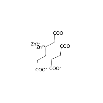 O=C([O-])CCC(=O)[O-].O=C([O-])CCCCC(=O)[O-].[Zn+2].[Zn+2]